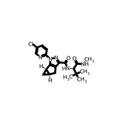 CNC(=O)[C@@H](NC(=O)c1nn(-c2ccc(Cl)cn2)c2c1C[C@H]1C[C@@H]21)C(C)(C)C